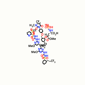 CCS(=O)(=O)c1cccnc1S(=O)(=O)NC(=O)Nc1nc(OC)cc(OC)n1.CCc1ccc(COc2ccc(-n3c(=O)cc(C(F)(F)F)n(C)c3=O)cc2)c(OC(C)C(=O)OC)c1.COc1nc(C)nc(NC(=O)NS(=O)(=O)c2ccccc2CCC(F)(F)F)n1.O=C(O)CNCP(=O)(O)O